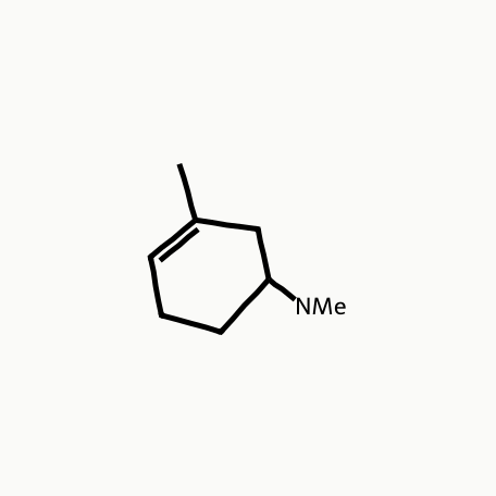 CNC1CCC=C(C)C1